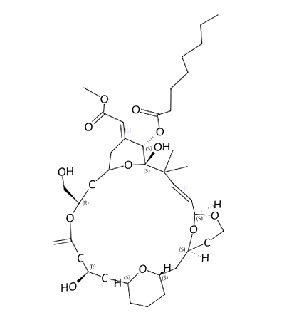 C=C1C[C@H](O)C[C@@H]2CCC[C@@H](C[C@@H]3CCO[C@H](/C=C/C(C)(C)[C@]4(O)OC(C/C(=C\C(=O)OC)[C@@H]4OC(=O)CCCCCCC)C[C@H](CO)O1)O3)O2